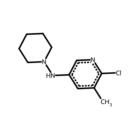 Cc1cc(NN2CCCCC2)cnc1Cl